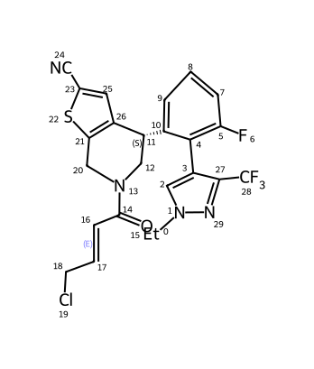 CCn1cc(-c2c(F)cccc2[C@@H]2CN(C(=O)/C=C/CCl)Cc3sc(C#N)cc32)c(C(F)(F)F)n1